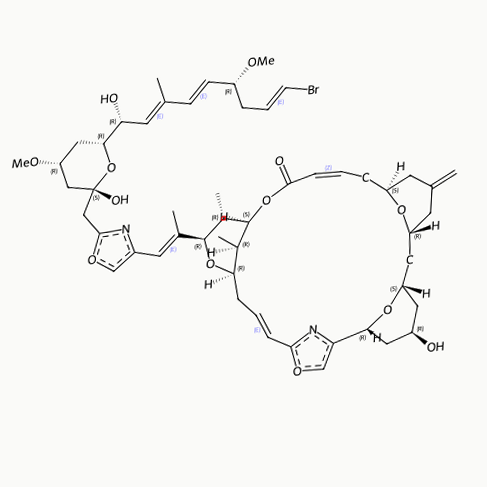 C=C1C[C@@H]2C[C@@H]3C[C@@H](O)C[C@@H](O3)c3coc(n3)/C=C/C[C@H]3O[C@@H](/C(C)=C/c4coc(C[C@]5(O)C[C@H](OC)C[C@H]([C@H](O)/C=C(C)/C=C/[C@@H](C/C=C/Br)OC)O5)n4)[C@H](C)[C@@H](OC(=O)/C=C\C[C@@H](C1)O2)[C@@H]3C